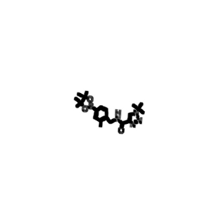 Cc1cc(B2OC(C)(C)C(C)(C)O2)ccc1CNC(=O)c1cn(C(C)(C)C)nn1